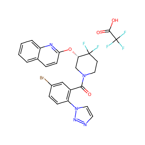 O=C(O)C(F)(F)F.O=C(c1cc(Br)ccc1-n1ccnn1)N1CCC(F)(F)[C@@H](Oc2ccc3ccccc3n2)C1